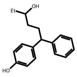 CCC(O)CCC(c1ccccc1)c1ccc(O)cc1